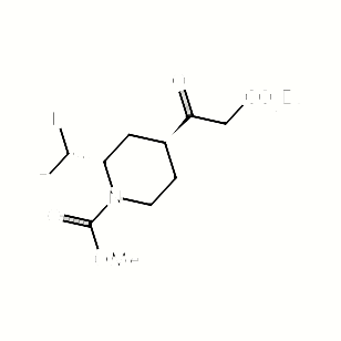 CCOC(=O)CC(=O)[C@H]1CCN(C(=O)OC)[C@H](C(F)F)C1